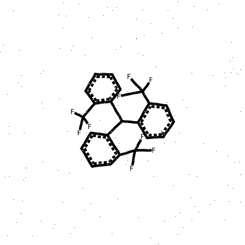 FC(F)(F)c1ccccc1[C](c1ccccc1C(F)(F)F)c1ccccc1C(F)(F)F